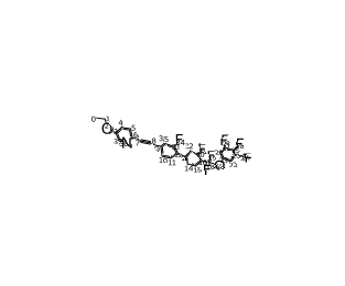 CCOc1ccc(C#Cc2ccc(-c3ccc(C(F)(F)Oc4cc(F)c(F)c(F)c4)c(F)c3)c(F)c2)nc1